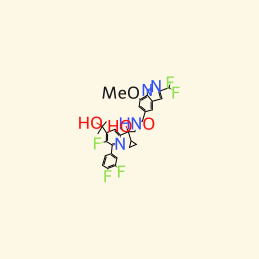 COc1cc(C(=O)NCC(O)(c2cc(C(C)(C)O)c(F)c(-c3ccc(F)c(F)c3)n2)C2CC2)cc2cc(C(F)F)nnc12